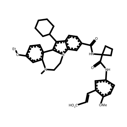 CCOc1ccc2c(c1)N(C)CCn1c-2c(C2CCCCC2)c2ccc(C(=O)NC3(C(=O)Nc4ccc(OC)c(/C=C/C(=O)O)c4)CCC3)cc21